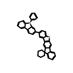 c1ccc(-n2c3ccccc3c3ccc(-c4ccc5sc6cc7c(cc6c5c4)C4(CCCCC4)c4ccccc4-7)cc32)cc1